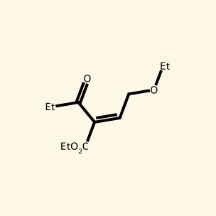 CCOCC=C(C(=O)CC)C(=O)OCC